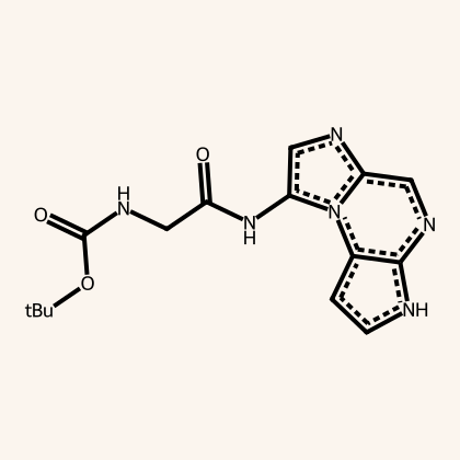 CC(C)(C)OC(=O)NCC(=O)Nc1cnc2cnc3[nH]ccc3n12